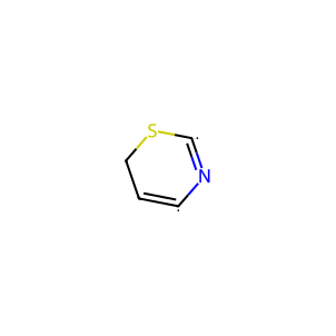 [C]1=CCS[C]=N1